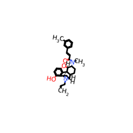 C=CCN1CC[C@@]23c4c5ccc(O)c4C[C@@H]1[C@@H]2CC[C@@H](N(C)C(=O)C=Cc1cccc(C)c1)[C@@H]3O5